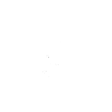 CC1(CC2CCCN(C(=O)OC(C)(C)C)C2)CCCCC1